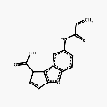 C=CC(=O)Nc1ccc2oc3c(c2c1)C(C(=O)O)C=C3